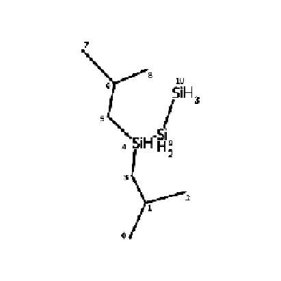 CC(C)C[SiH](CC(C)C)[SiH2][SiH3]